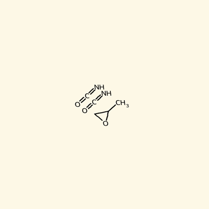 CC1CO1.N=C=O.N=C=O